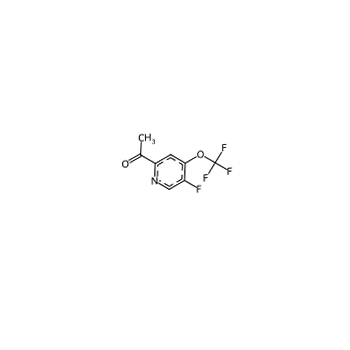 CC(=O)c1cc(OC(F)(F)F)c(F)cn1